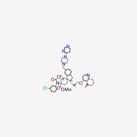 COC(=O)C1(N(C(=O)C(F)(F)F)c2cccc(Cl)c2)CCC2(CC1)c1cc(CN3CCN(c4ccncn4)CC3)ccc1C[C@@H]2C[C@@H](C)COc1ccnc2c1[C@H](C)CCC2